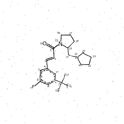 O=C(C=Cc1cc(F)cc(C(F)(F)F)c1)N1CCCC1CN1CCCC1